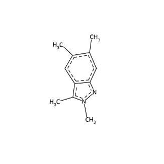 Cc1cc2nn(C)c(C)c2cc1C